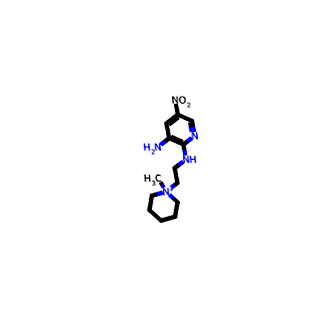 C[N+]1(CCNc2ncc([N+](=O)[O-])cc2N)CCCCC1